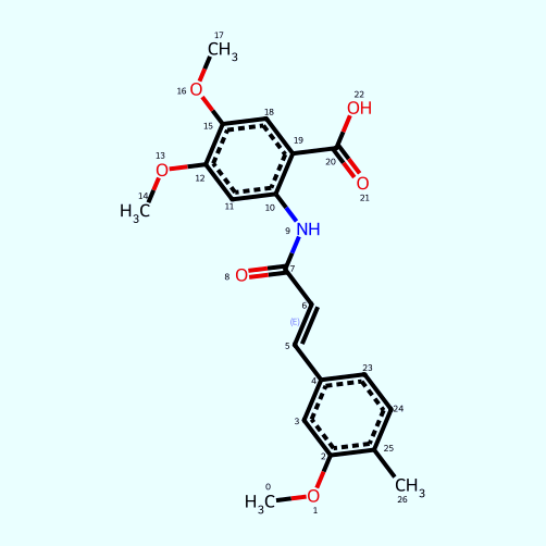 COc1cc(/C=C/C(=O)Nc2cc(OC)c(OC)cc2C(=O)O)ccc1C